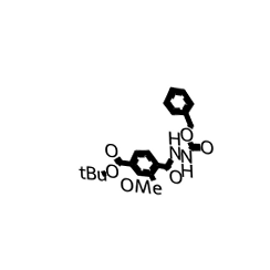 COc1cc(C(=O)OC(C)(C)C)ccc1C(=O)NNC(=O)OCc1ccccc1